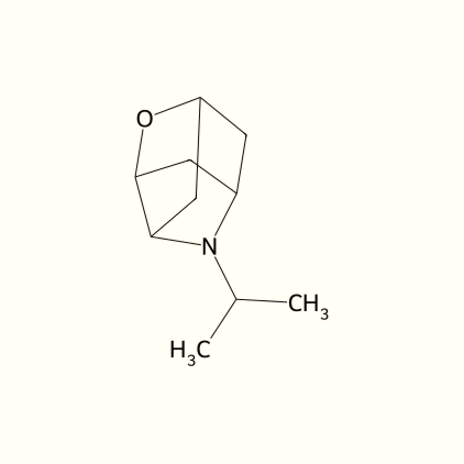 CC(C)N1C2CC3CC1C(C2)O3